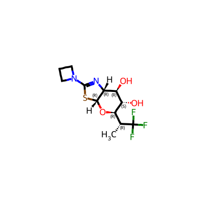 C[C@H]([C@H]1O[C@@H]2SC(N3CCC3)=N[C@@H]2[C@@H](O)[C@@H]1O)C(F)(F)F